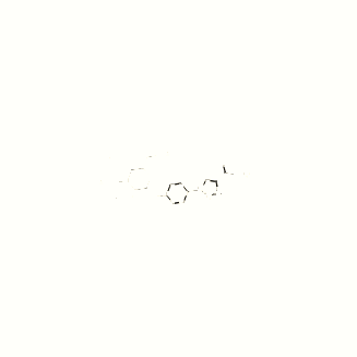 COC(=O)c1cn(-c2ccc(O[C@@H]3O[C@H](COC(C)=O)[C@@H](OC(C)=O)[C@H](OC(C)=O)[C@@H]3OC(C)=O)cc2)nn1